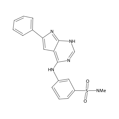 CNS(=O)(=O)c1cccc(Nc2nc[nH]c3nc(-c4ccccc4)cc2-3)c1